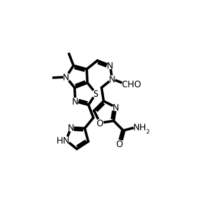 Cc1c(/C=N\N(C=O)Cc2coc(C(N)=O)n2)c2sc(Cc3cc[nH]n3)nc2n1C